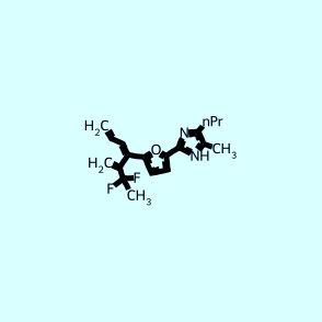 C=C/C=C(\C(=C)C(C)(F)F)c1ccc(-c2nc(CCC)c(C)[nH]2)o1